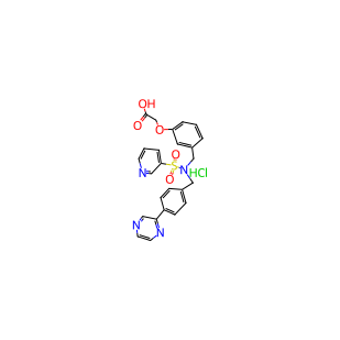 Cl.O=C(O)COc1cccc(CN(Cc2ccc(-c3cnccn3)cc2)S(=O)(=O)c2cccnc2)c1